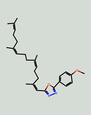 COc1ccc(-c2nnc(C=C(C)CCC=C(C)CCC=C(C)CCC=C(C)C)o2)cc1